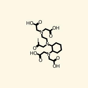 O=C(O)CN(CCN(CC(=O)I)C1CCCCC1N(CC(=O)O)CC(=O)O)CC(=O)O